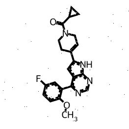 COc1ccc(F)cc1-c1ncnc2[nH]c(C3=CCN(C(=O)C4CC4)CC3)cc12